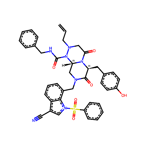 C=CCN1CC(=O)N2[C@@H](Cc3ccc(O)cc3)C(=O)N(Cc3cccc4c(C#N)cn(S(=O)(=O)c5ccccc5)c34)C[C@@H]2N1C(=O)NCc1ccccc1